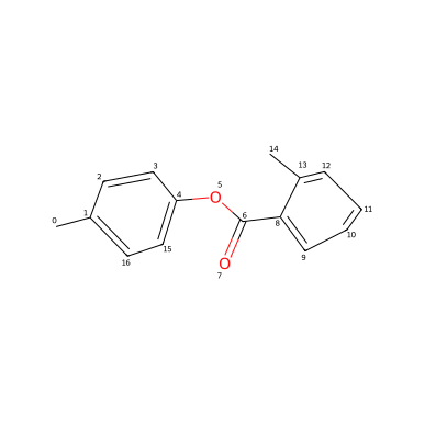 Cc1ccc(OC(=O)c2ccccc2C)cc1